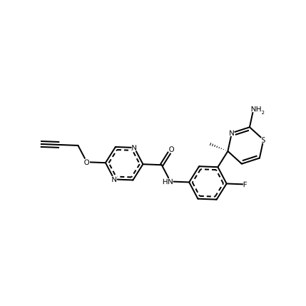 C#CCOc1cnc(C(=O)Nc2ccc(F)c([C@]3(C)C=CSC(N)=N3)c2)cn1